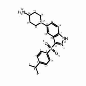 CC(C)c1ccc(S(=O)(=O)c2n[nH]c3ccc(N4CCC(N)CC4)cc23)cc1